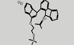 C[C](C)=[Zr+2][CH]1c2ccccc2-c2cccc(C3C=C(OCCO[Si](C)(C)C)c4ccccc43)c21.[Cl-].[Cl-]